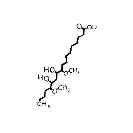 CCCCC(OC)C(O)CC(O)C(CCCCCCCCC(=O)O)OC